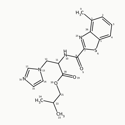 Cc1cccc2sc(C(=O)NC(Cn3ccnc3)C(=O)OCC(C)C)nc12